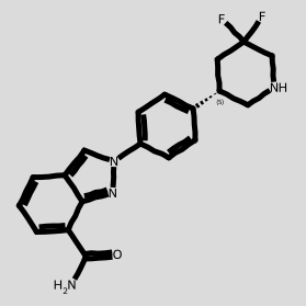 NC(=O)c1cccc2cn(-c3ccc([C@H]4CNCC(F)(F)C4)cc3)nc12